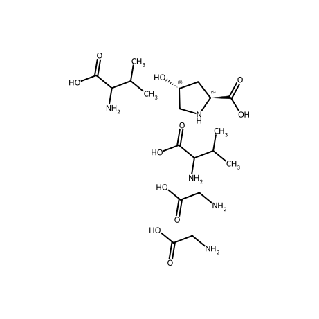 CC(C)C(N)C(=O)O.CC(C)C(N)C(=O)O.NCC(=O)O.NCC(=O)O.O=C(O)[C@@H]1C[C@@H](O)CN1